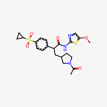 COc1cnc(NC(=O)C(CC2CCN(C(C)=O)C2)c2ccc(S(=O)(=O)C3CC3)cc2)s1